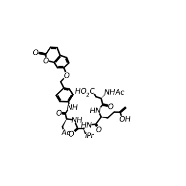 C=C(O)CC[C@H](NC(=O)[C@H](CC(=O)O)NC(C)=O)C(=O)N[C@H](C(=O)N[C@@H](CC(C)=O)C(=O)Nc1ccc(COc2ccc3ccc(=O)oc3c2)cc1)C(C)C